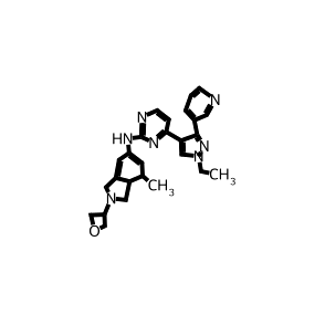 CCn1cc(-c2ccnc(NC3=CC(C)C4CN(C5COC5)CC4=C3)n2)c(-c2cccnc2)n1